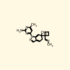 CN=CC1(C2(C)C=c3c(cnn3-c3cc(C)nc(N)n3)=CC2)CCC1